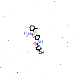 CC1=C(O/C(N)=N\C2=CC(NC(=O)c3ccc(C#N)cn3)CC=C2F)CCCC1